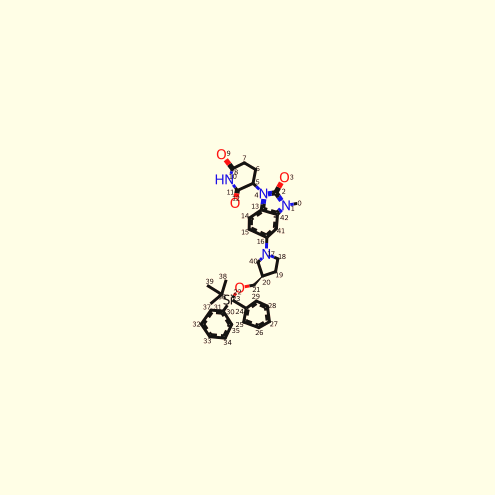 Cn1c(=O)n(C2CCC(=O)NC2=O)c2ccc(N3CC[C@@H](CO[Si](c4ccccc4)(c4ccccc4)C(C)(C)C)C3)cc21